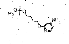 CC(C)(OS)OCCCCOc1cc(N)ccn1